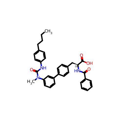 CCCCc1ccc(NC(=O)N(C)c2cccc(-c3ccc(C[C@H](NC(=O)c4ccccc4)C(=O)O)cc3)c2)cc1